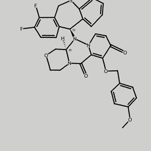 COc1ccc(COc2c3n(ccc2=O)N([C@@H]2c4ccccc4SCc4c2ccc(F)c4F)[C@@H]2COCCN2C3=O)cc1